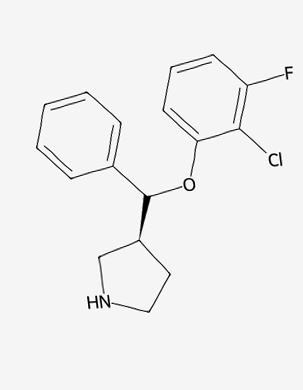 Fc1cccc(OC(c2ccccc2)[C@H]2CCNC2)c1Cl